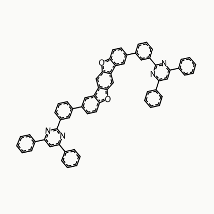 c1ccc(-c2cc(-c3ccccc3)nc(-c3cccc(-c4ccc5oc6cc7c(cc6c5c4)oc4ccc(-c5cccc(-c6nc(-c8ccccc8)cc(-c8ccccc8)n6)c5)cc47)c3)n2)cc1